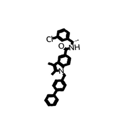 Cc1c(C)n(Cc2ccc(-c3ccccc3)cc2)c2ccc(C(=O)N[C@@H](C)c3cccc(Cl)c3)cc12